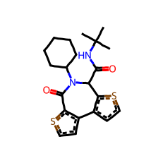 CC(C)(C)NC(=O)C1c2sccc2-c2ccsc2C(=O)N1C1CCCCC1